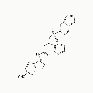 O=Cc1ccc2c(c1)CC[C@H]2NC(=O)CC(CS(=O)(=O)c1ccc2ccccc2c1)c1ccccc1